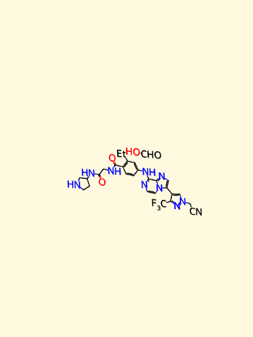 CCc1cc(Nc2nccn3c(-c4cn(CC#N)nc4C(F)(F)F)cnc23)ccc1C(=O)NCC(=O)N[C@H]1CCNC1.O=CO